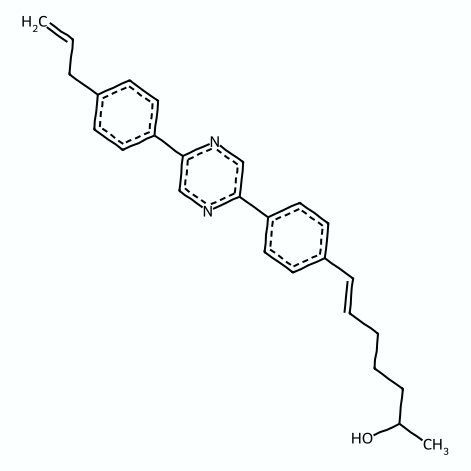 C=CCc1ccc(-c2cnc(-c3ccc(C=CCCCC(C)O)cc3)cn2)cc1